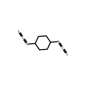 S=C=NC1CCC(N=C=S)CC1